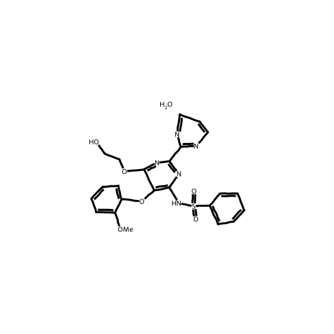 COc1ccccc1Oc1c(NS(=O)(=O)c2ccccc2)nc(-c2ncccn2)nc1OCCO.O